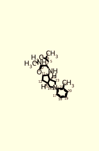 CNC(=O)[C@H](CC(C)C)N[C@H]1CC[C@@H]2CN(c3ccccc3C)C[C@@H]21